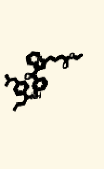 CCCC(Nc1cccc(C(=O)c2cc(CCCC(=O)OCC)n3ccccc23)c1)c1ccc(CC(C)C)cc1